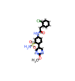 COc1ncc(-c2ccc(NC(=O)Cc3ccccc3Cl)cc2S(N)(=O)=O)cn1